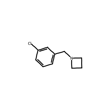 Clc1[c]c(CN2CCC2)ccc1